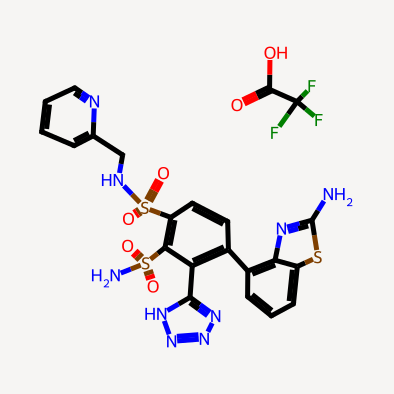 Nc1nc2c(-c3ccc(S(=O)(=O)NCc4ccccn4)c(S(N)(=O)=O)c3-c3nnn[nH]3)cccc2s1.O=C(O)C(F)(F)F